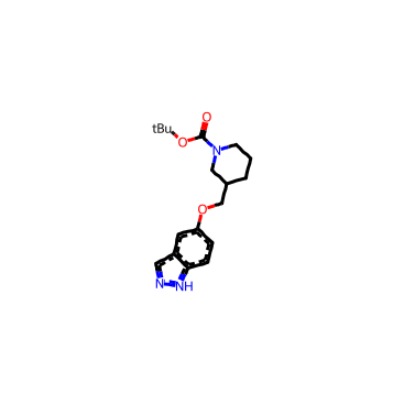 CC(C)(C)OC(=O)N1CCCC(COc2ccc3[nH]ncc3c2)C1